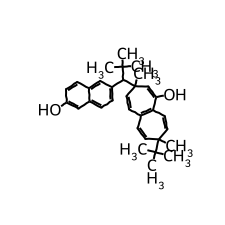 CC(C)(C)C(c1ccc2cc(O)ccc2c1)C1(C)C=CC2=C(C=CC(C)(C(C)(C)C)C=C2)C(O)=C1